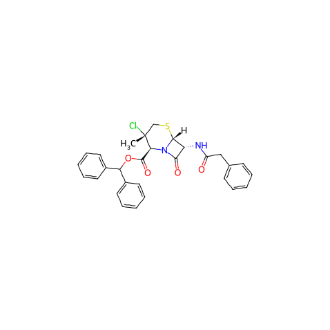 C[C@@]1(Cl)CS[C@@H]2[C@H](NC(=O)Cc3ccccc3)C(=O)N2[C@H]1C(=O)OC(c1ccccc1)c1ccccc1